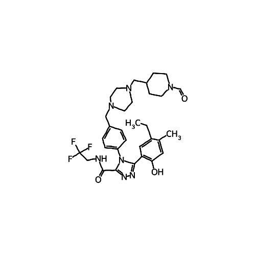 CCc1cc(-c2nnc(C(=O)NCC(F)(F)F)n2-c2ccc(CN3CCN(CC4CCN(C=O)CC4)CC3)cc2)c(O)cc1C